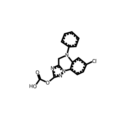 O=C(O)Oc1nc2n(n1)-c1ccc(Cl)cc1N(c1ccccc1)C2